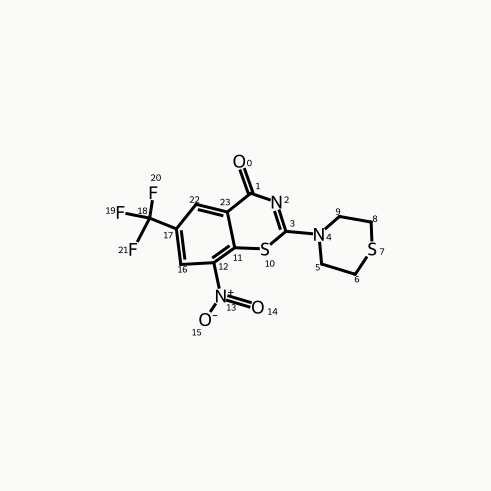 O=c1nc(N2CCSCC2)sc2c([N+](=O)[O-])cc(C(F)(F)F)cc12